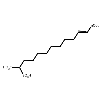 CCCCCCCCC=CCCCCCCCCC(C(=O)O)S(=O)(=O)O